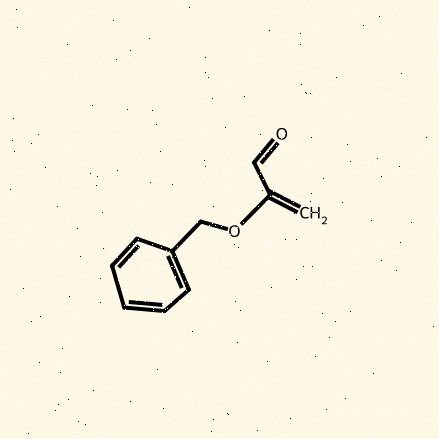 C=C(C=O)OCc1ccccc1